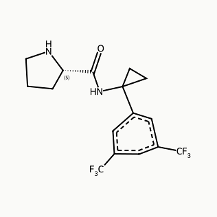 O=C(NC1(c2cc(C(F)(F)F)cc(C(F)(F)F)c2)CC1)[C@@H]1CCCN1